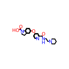 O=C(NCCN1CCCCC1)c1cc(Oc2ccc3c(c2)CCN3C(=O)O)ccn1